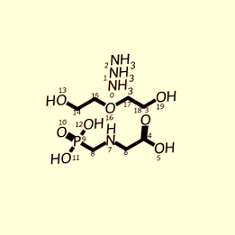 N.N.N.O=C(O)CNCP(=O)(O)O.OCCOCCO